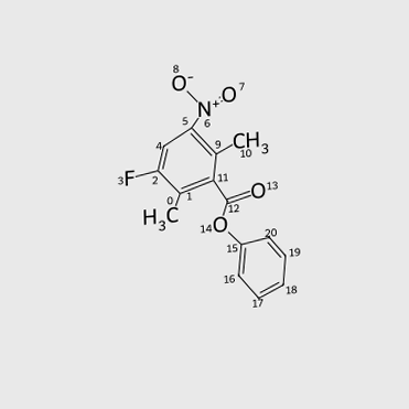 Cc1c(F)cc([N+](=O)[O-])c(C)c1C(=O)Oc1ccccc1